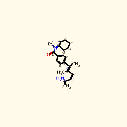 C=C(N)/C=C\C(C)=C(/C)c1ccc(C(=O)N(CC)C2CCCCC2)cc1